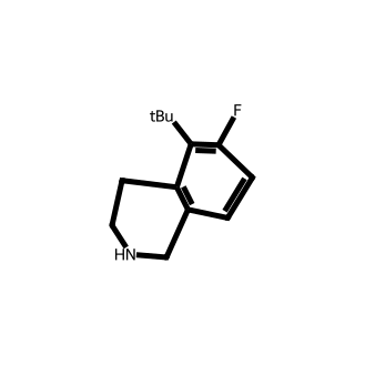 CC(C)(C)c1c(F)ccc2c1CCNC2